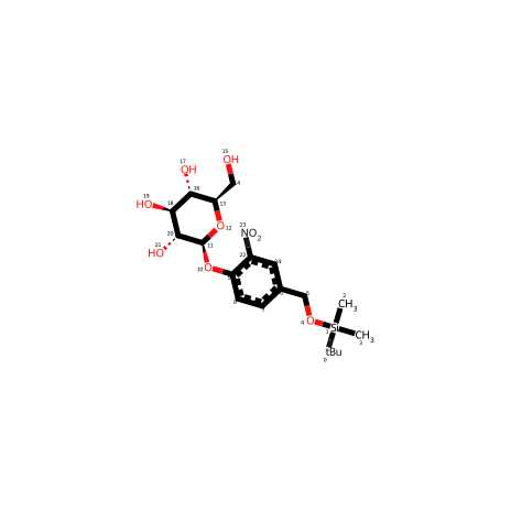 CC(C)(C)[Si](C)(C)OCc1ccc(O[C@@H]2O[C@H](CO)[C@@H](O)[C@H](O)[C@H]2O)c([N+](=O)[O-])c1